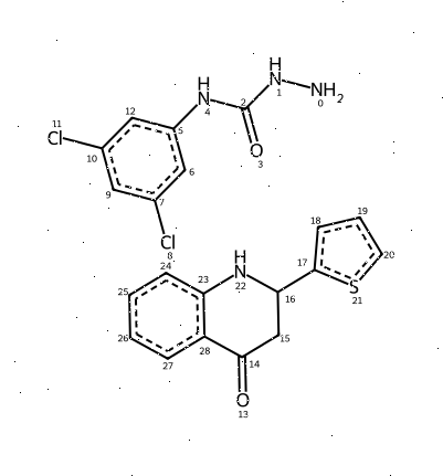 NNC(=O)Nc1cc(Cl)cc(Cl)c1.O=C1CC(c2cccs2)Nc2ccccc21